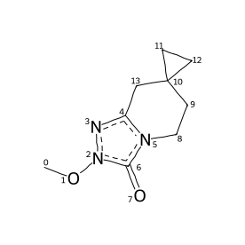 COn1nc2n(c1=O)CCC1(CC1)C2